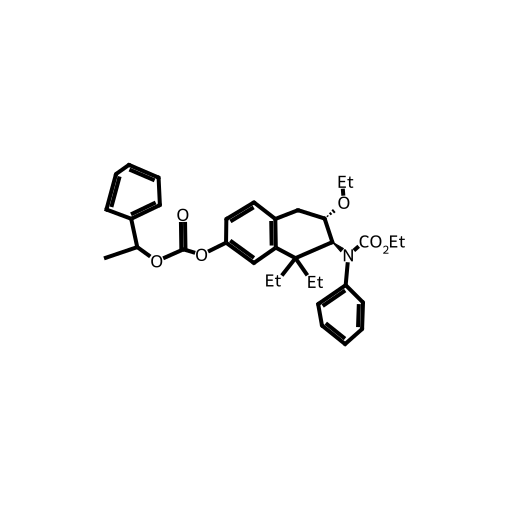 CCOC(=O)N(c1ccccc1)[C@@H]1[C@@H](OCC)Cc2ccc(OC(=O)OC(C)c3ccccc3)cc2C1(CC)CC